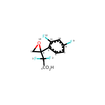 O=C(O)C(F)(F)C1(c2ccc(F)cc2F)CO1